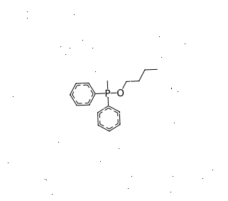 CCCCO[P](C)(c1ccccc1)c1ccccc1